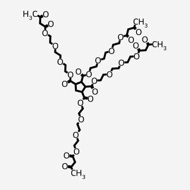 CC(=O)CC(=O)OCCOCCOCCOC(=O)C1CC(C(=O)OCCOCCOCCOC(=O)CC(C)=O)C(C(=O)OCCOCCOCCOC(=O)CC(C)=O)C1C(=O)OCCOCCOCCOC(=O)CC(C)=O